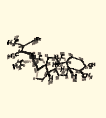 C/C(=C\[C@@H](C)[C@H]1CC[C@H]2[C@@H]3CC[C@H]4[C@H](C)[C@@H](O)CC[C@]4(C)[C@H]3CC[C@]12C)C(C)C(C)C